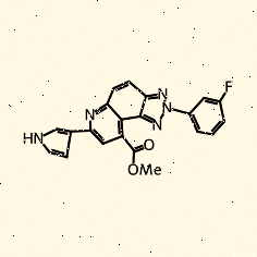 COC(=O)c1cc(-c2cc[nH]c2)nc2ccc3nn(-c4cccc(F)c4)nc3c12